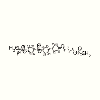 C=CC(=O)OCCCCOc1ccc(-c2ccc(OC(=O)c3ccc(OC(=O)C(=C)F)cc3)cc2)cc1